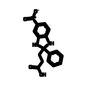 O=C(O)CCC1(c2ccccc2)Nc2ccc([N+](=O)[O-])cc2N1